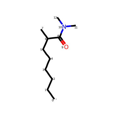 [CH2]CCCCCC(C)C(=O)N(C)C